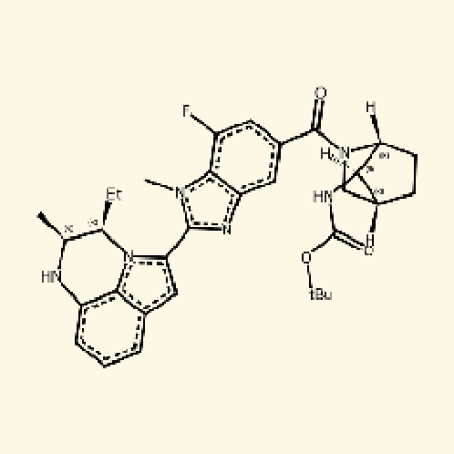 CC[C@@H]1[C@H](C)Nc2cccc3cc(-c4nc5cc(C(=O)N6C[C@H]7CC[C@@H]6[C@@H]7NC(=O)OC(C)(C)C)cc(F)c5n4C)n1c23